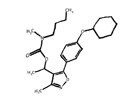 CCCCN(C)C(=O)OC(C)c1c(C)noc1-c1ccc(OC2CCCCC2)cc1